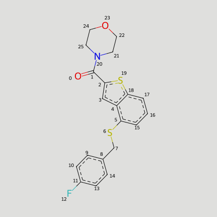 O=C(c1cc2c(SCc3ccc(F)cc3)cccc2s1)N1CCOCC1